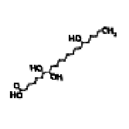 CC/C=C/C[C@@H](O)/C=C/C=C/C=C/C=C/[C@@H](O)[C@@H](O)C/C=C/CCC(=O)O